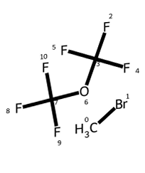 CBr.FC(F)(F)OC(F)(F)F